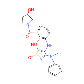 CN(c1ccccc1)c1n[s+]([O-])nc1Nc1cccc(C(=O)N2CC[C@@H](O)C2)c1O